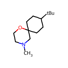 CN1CCOC2(CCC(C(C)(C)C)CC2)C1